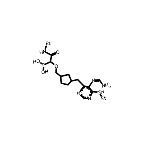 CCNC(=O)C(OCC1CCC(Cc2ncnc(NCC)c2/N=C\N)C1)P(O)O